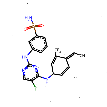 N#C/C=C1\C=CC(Nc2nc(Nc3cccc(S(N)(=O)=O)c3)ncc2F)C=C1C(F)(F)F